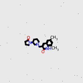 Cc1cc(C)c2[nH]c(=O)c(CN3CCCC(N4CCCC4=O)C3)cc2c1